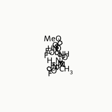 COc1cccc(S(=O)(=O)Nc2cc3[nH]c(C(=O)c4cnn(-c5cnc(Oc6c(F)cccc6F)cc5C)c4N)cc3cc2OCC(F)F)c1